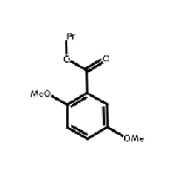 COc1ccc(OC)c(C(=O)OC(C)C)c1